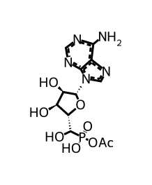 CC(=O)OP(=O)(O)C(O)[C@H]1O[C@@H](n2cnc3c(N)ncnc32)[C@H](O)[C@@H]1O